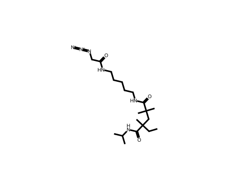 CCC(C)(CC(C)(C)C(=O)NCCCCCNC(=O)CN=[N+]=[N-])C(=O)NC(C)C